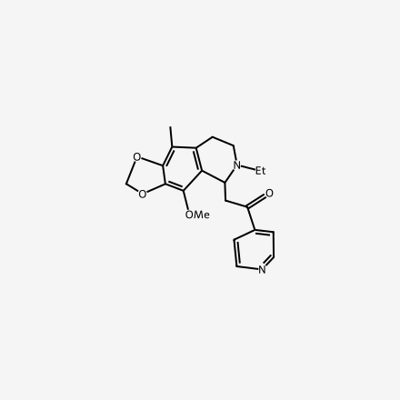 CCN1CCc2c(C)c3c(c(OC)c2C1CC(=O)c1ccncc1)OCO3